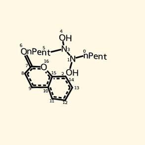 CCCCCN(O)N(O)CCCCC.O=c1ccc2ccccc2o1